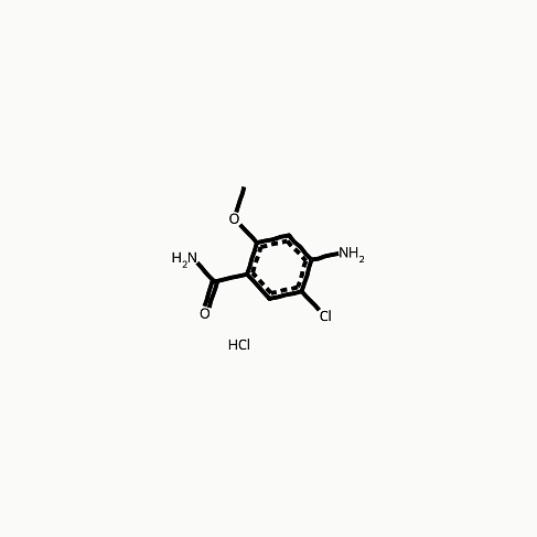 COc1cc(N)c(Cl)cc1C(N)=O.Cl